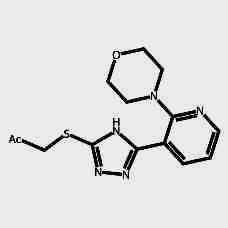 CC(=O)CSc1nnc(-c2cccnc2N2CCOCC2)[nH]1